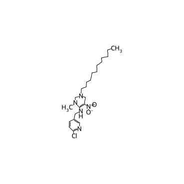 CCCCCCCCCCCCN1CC([N+](=O)[O-])=C(NCc2ccc(Cl)nc2)N(C)C1